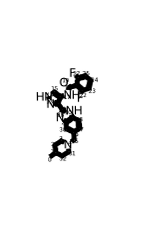 CC1CCN(Cc2ccc3[nH]c(-c4n[nH]cc4NC(=O)c4c(F)cccc4F)nc3c2)CC1